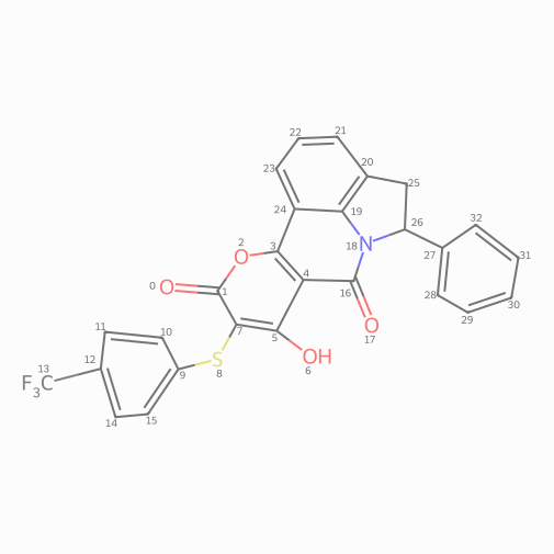 O=c1oc2c(c(O)c1Sc1ccc(C(F)(F)F)cc1)c(=O)n1c3c(cccc23)CC1c1ccccc1